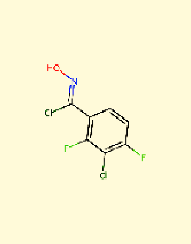 ON=C(Cl)c1ccc(F)c(Cl)c1F